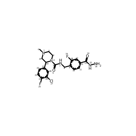 CN1CCN(C(=O)NCc2ccc(C(=O)NN)cc2F)C(c2ccc(F)c(Cl)c2)C1